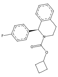 O=C(OC1CCC1)N1CCc2ccccc2[C@@H]1c1ccc(F)cc1